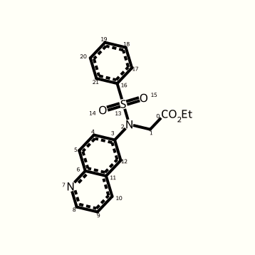 CCOC(=O)CN(c1ccc2ncccc2c1)S(=O)(=O)c1ccccc1